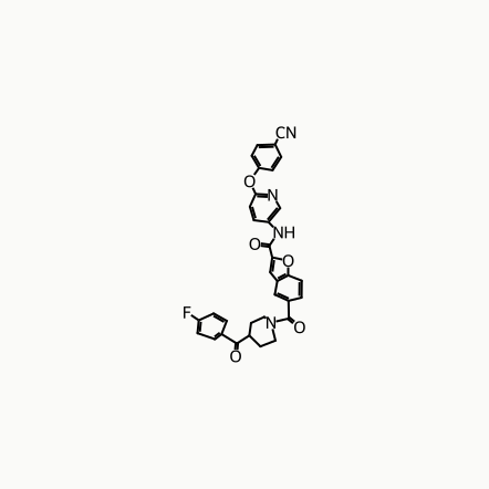 N#Cc1ccc(Oc2ccc(NC(=O)c3cc4cc(C(=O)N5CCC(C(=O)c6ccc(F)cc6)CC5)ccc4o3)cn2)cc1